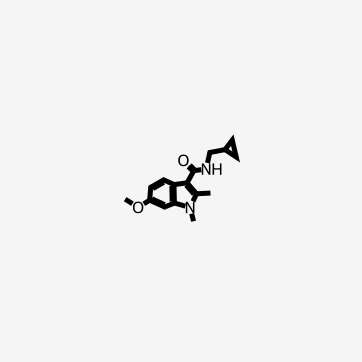 COc1ccc2c(C(=O)NCC3CC3)c(C)n(C)c2c1